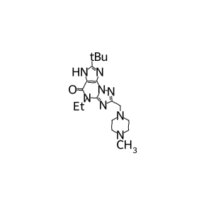 CCn1c(=O)c2[nH]c(C(C)(C)C)nc2n2nc(CN3CCN(C)CC3)nc12